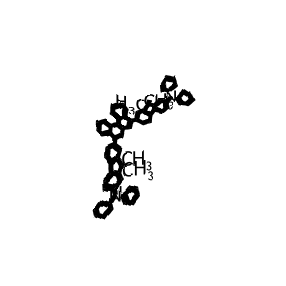 CC1(C)c2cc(-c3cc4cc(-c5ccc6c(c5)C(C)(C)c5cc(N(c7ccccc7)c7ccccc7)ccc5-6)c5ccccc5c4c4ccccc34)ccc2-c2ccc(N(c3ccccc3)c3ccccc3)cc21